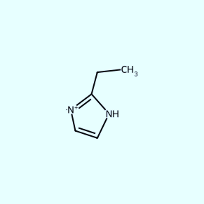 CCC1=[N+]C=CN1